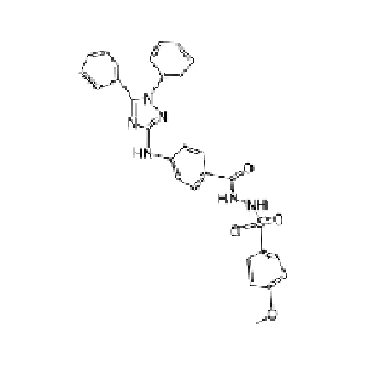 COc1ccc(S(=O)(=O)NNC(=O)c2ccc(Nc3nc(-c4ccccc4)n(-c4ccccc4)n3)cc2)cc1